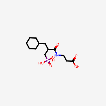 O=C(O)CCNC(=O)C(CC1CCCCC1)CP(=O)(O)O